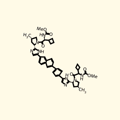 COC(=O)NC(C(=O)N1C[C@@H](C)C[C@H]1c1ncc(-c2ccc(-c3ccc4cc(-c5cnc([C@@H]6C[C@H](C)CN6C(=O)[C@@H](NC(=O)OC)C6CCC6)[nH]5)ccc4c3)cc2)[nH]1)C1CCC1